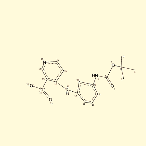 CC(C)(C)OC(=O)Nc1cccc(Nc2ccncc2[N+](=O)[O-])c1